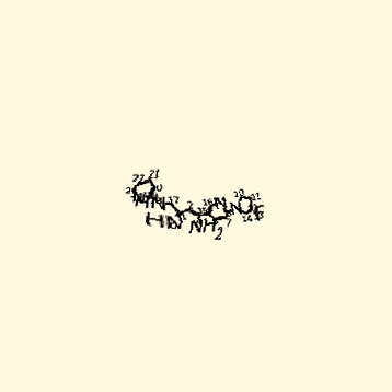 N=C(/C=C(\N)c1ccc(N2CC[C@H](F)C2)nc1)CNc1ccccn1